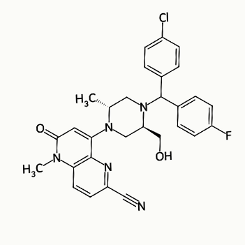 C[C@@H]1CN(C(c2ccc(F)cc2)c2ccc(Cl)cc2)[C@@H](CO)CN1c1cc(=O)n(C)c2ccc(C#N)nc12